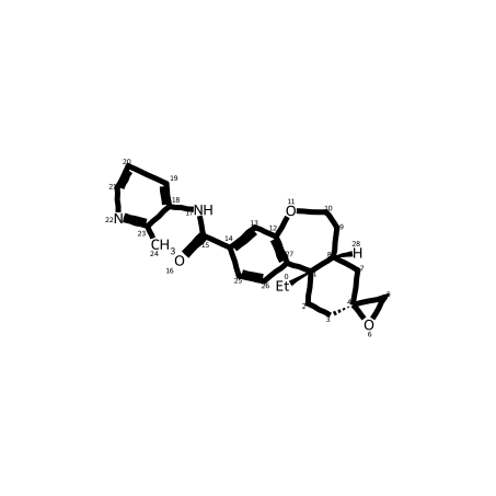 CC[C@]12CC[C@@]3(CO3)C[C@H]1CCOc1cc(C(=O)Nc3cccnc3C)ccc12